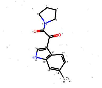 O=C(C(=O)N1CCCC1)c1c[nH]c2cc([N+](=O)[O-])ccc12